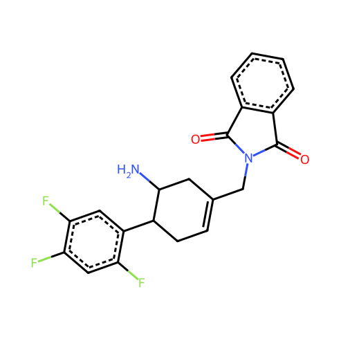 NC1CC(CN2C(=O)c3ccccc3C2=O)=CCC1c1cc(F)c(F)cc1F